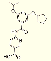 CC(C)Oc1cc(OC2CCCC2)cc(C(=O)Nc2ccc(C(=O)O)cn2)c1